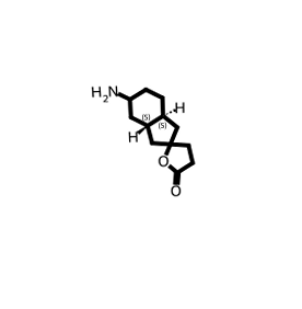 NC1CC[C@H]2CC3(CCC(=O)O3)C[C@@H]2C1